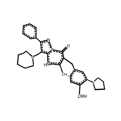 COc1ccc(Cc2c(C)[nH]c3c(N4CCCCC4)c(-c4ccccc4)nn3c2=O)cc1N1CCCC1